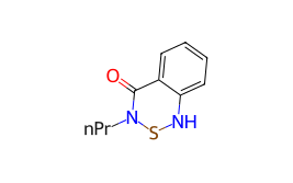 CCCN1SNc2ccccc2C1=O